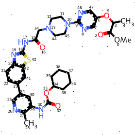 COC(=O)C(C)Oc1cnc(N2CCN(CC(=O)Nc3nc4ccc(-c5cnc(C)c(NC(=O)OC6CCCCC6)c5)cc4s3)CC2)nc1